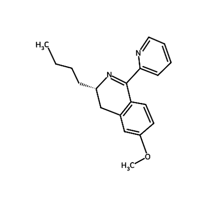 CCCC[C@H]1Cc2cc(OC)ccc2C(c2ccccn2)=N1